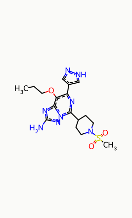 CCCOc1c(-c2cn[nH]c2)nc(C2CCN(S(C)(=O)=O)CC2)n2nc(N)nc12